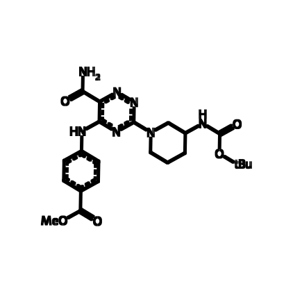 COC(=O)c1ccc(Nc2nc(N3CCCC(NC(=O)OC(C)(C)C)C3)nnc2C(N)=O)cc1